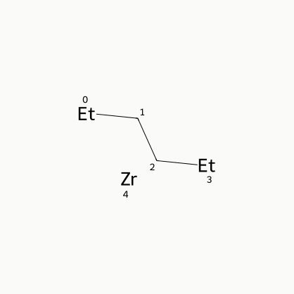 CCCCCC.[Zr]